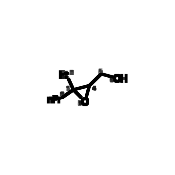 CCCC1(CC)OC1CO